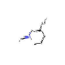 C=N/C=C(C#N)\C=C/C